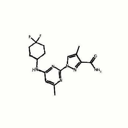 Cc1cc(NC2CCC(F)(F)CC2)nc(-n2cc(C)c(C(N)=O)n2)n1